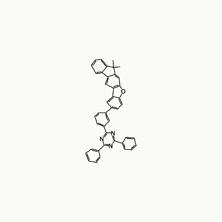 CC1(C)c2ccccc2-c2cc3c(cc21)oc1ccc(-c2cccc(-c4nc(-c5ccccc5)nc(-c5ccccc5)n4)c2)cc13